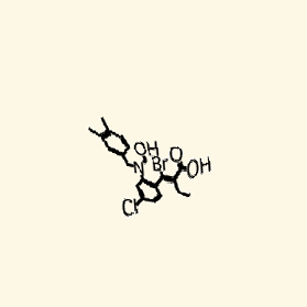 CC/C(C(=O)O)=C(/Br)c1ccc(Cl)cc1N(CO)Cc1ccc(C)c(C)c1